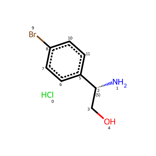 Cl.N[C@H](CO)c1ccc(Br)cc1